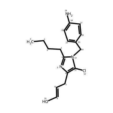 CCCCc1nc(CC=CO)c(Cl)n1Cc1ccc(N)cc1